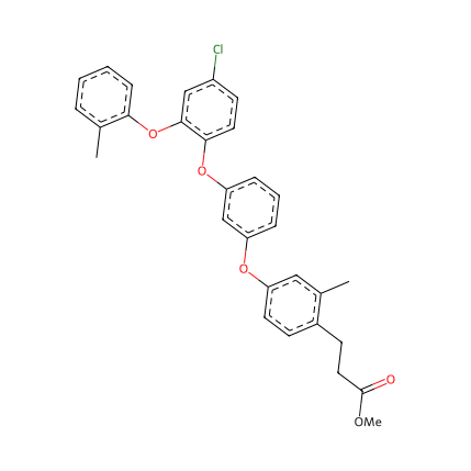 COC(=O)CCc1ccc(Oc2cccc(Oc3ccc(Cl)cc3Oc3ccccc3C)c2)cc1C